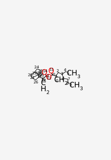 C=C(CC(CC)CCCC)C(=O)OC(=O)C(=C)C12CC3CC(CC(C3)C1)C2